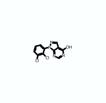 Oc1ncnc2c1cnn2-c1cccc(Cl)c1Cl